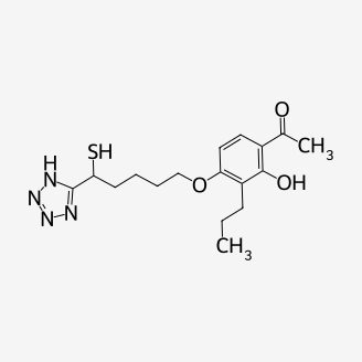 CCCc1c(OCCCCC(S)c2nnn[nH]2)ccc(C(C)=O)c1O